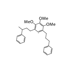 COc1c(CCCc2ccccc2)[c]c(CCC(C)c2ccccc2)c(OC)c1OC